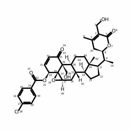 CC1=C(CO)C(=O)O[C@@H]([C@@H](C)[C@H]2CC[C@H]3[C@@H]4C[C@H]5O[C@]56[C@@H](OC(=O)c5ccc(Cl)cc5)C=CC(=O)[C@]6(CO)[C@H]4CC[C@]23C)C1